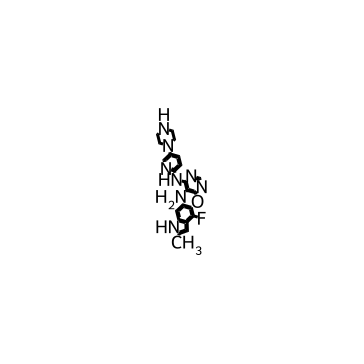 Cc1cc2c(F)c(Oc3ncnc(Nc4ccc(N5CCNCC5)cn4)c3N)ccc2[nH]1